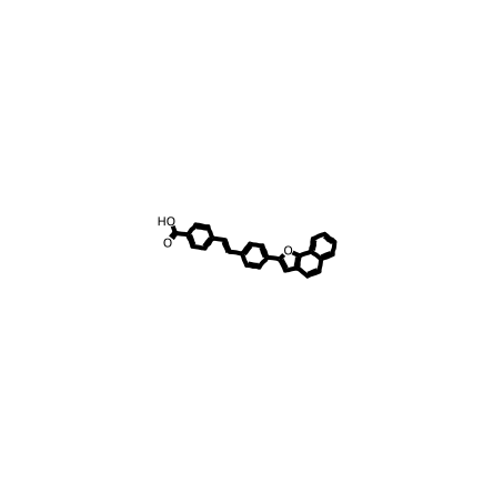 O=C(O)c1ccc(C=Cc2ccc(-c3cc4ccc5ccccc5c4o3)cc2)cc1